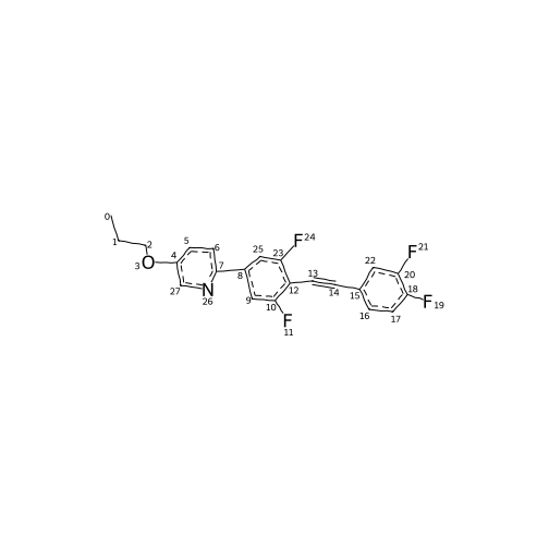 CCCOc1ccc(-c2cc(F)c(C#Cc3ccc(F)c(F)c3)c(F)c2)nc1